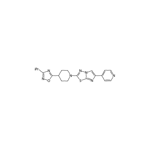 CC(C)c1noc(C2CCN(c3nn4cc(-c5ccncc5)nc4s3)CC2)n1